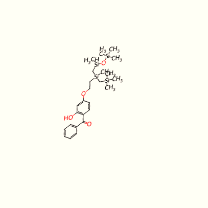 C[SiH](C[Si](C)(CCOc1ccc(C(=O)c2ccccc2)c(O)c1)C[Si](C)(C)C)O[Si](C)(C)C